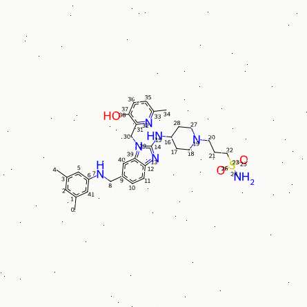 Cc1cc(C)cc(NCc2ccc3nc(NC4CCN(CCCS(N)(=O)=O)CC4)n(Cc4nc(C)ccc4O)c3c2)c1